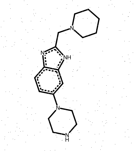 c1cc2nc(CN3CCCCC3)[nH]c2cc1N1CCNCC1